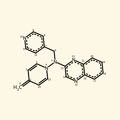 C=C1C=CN(N(Cc2ccncc2)c2cnc3ccccc3n2)C=C1